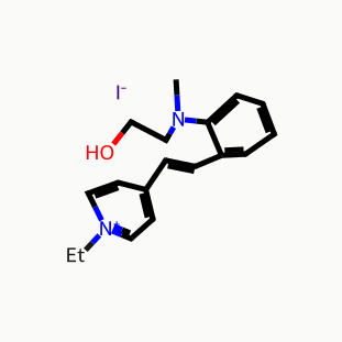 CC[n+]1ccc(/C=C/c2ccccc2N(C)CCO)cc1.[I-]